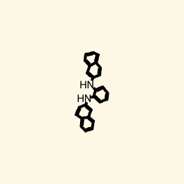 c1ccc(Nc2ccc3ccccc3c2)c(Nc2ccc3ccccc3c2)c1